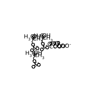 C[Si](C)(O)CCCc1ccc([S+](c2ccccc2)c2ccccc2)cc1.C[Si](C)(O)CCCc1ccc([S+](c2ccccc2)c2ccccc2)cc1.C[Si](C)(O)CCCc1ccc([S+](c2ccccc2)c2ccccc2)cc1.O=C([O-])c1ccco1.O=C([O-])c1ccco1.O=C([O-])c1ccco1